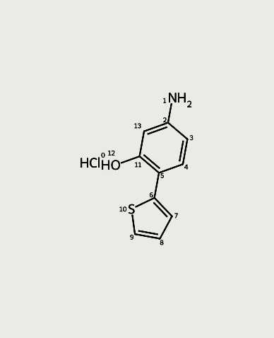 Cl.Nc1ccc(-c2cccs2)c(O)c1